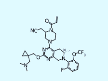 C=CC(=O)N1CCN(c2nc(OCC3(CN(C)C)CC3)nc3c2C[C@H](C)N(c2c(F)cccc2OC(F)(F)F)C3)CC1CC#N